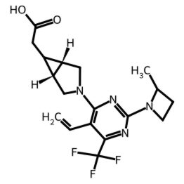 C=Cc1c(N2C[C@@H]3C(CC(=O)O)[C@@H]3C2)nc(N2CCC2C)nc1C(F)(F)F